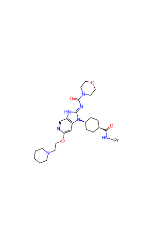 CC(C)NC(=O)[C@H]1CC[C@@H](n2/c(=N/C(=O)N3CCOCC3)[nH]c3cnc(OCCN4CCCCC4)cc32)CC1